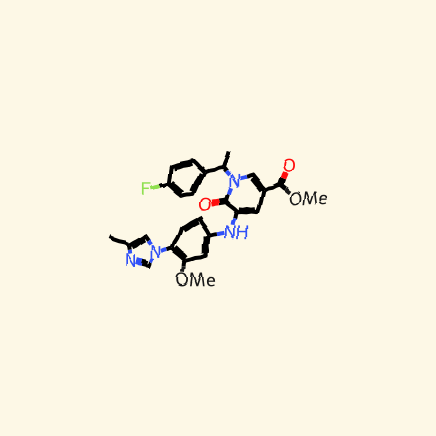 COC(=O)c1cc(Nc2ccc(-n3cnc(C)c3)c(OC)c2)c(=O)n(C(C)c2ccc(F)cc2)c1